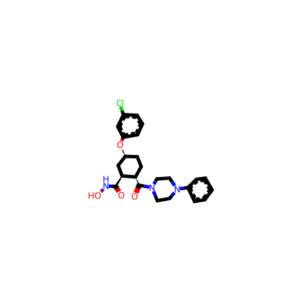 O=C(NO)[C@H]1C[C@H](Oc2cccc(Cl)c2)CC[C@@H]1C(=O)N1CCN(c2ccccc2)CC1